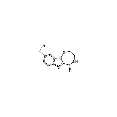 N#CSc1ccc2sc3c(c2c1)SCCNC3=O